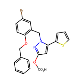 O=C(O)Oc1cc(-c2cccs2)n(Cc2cc(Br)ccc2OCc2ccccc2)n1